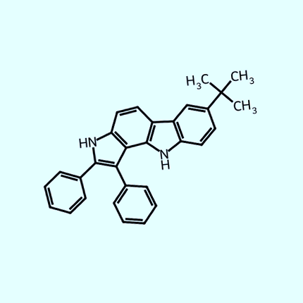 CC(C)(C)c1ccc2[nH]c3c(ccc4[nH]c(-c5ccccc5)c(-c5ccccc5)c43)c2c1